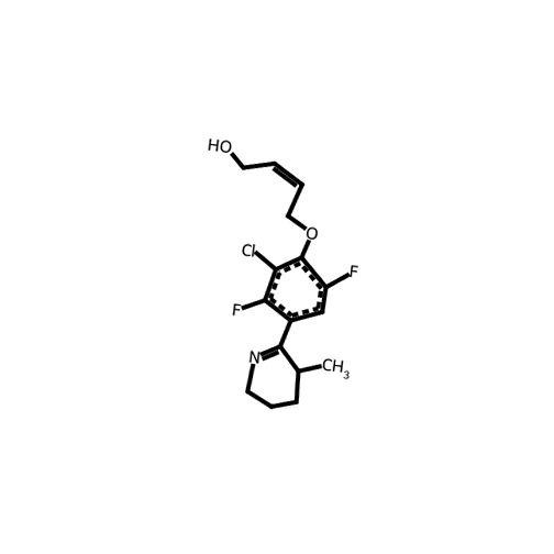 CC1CCCN=C1c1cc(F)c(OC/C=C\CO)c(Cl)c1F